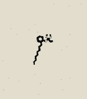 CCCCCCCCCc1ccccc1OC(CC)(OC)OC